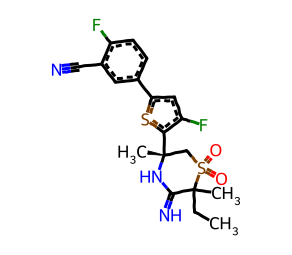 CCC1(C)C(=N)N[C@](C)(c2sc(-c3ccc(F)c(C#N)c3)cc2F)CS1(=O)=O